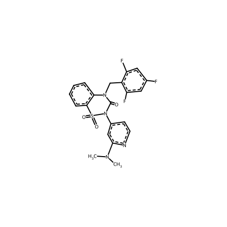 CN(C)c1cc(N2C(=O)N(Cc3c(F)cc(F)cc3F)c3ccccc3S2(=O)=O)ccn1